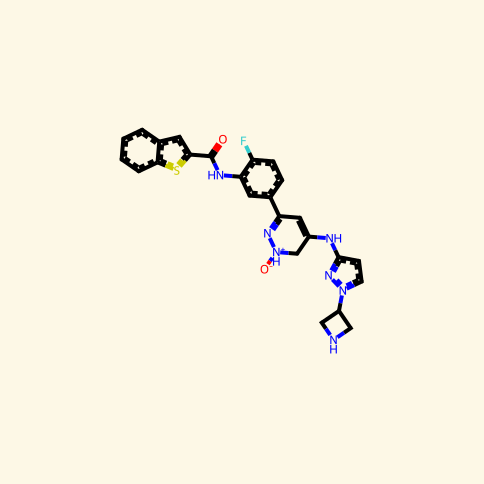 O=C(Nc1cc(C2=N[NH+]([O-])CC(Nc3ccn(C4CNC4)n3)=C2)ccc1F)c1cc2ccccc2s1